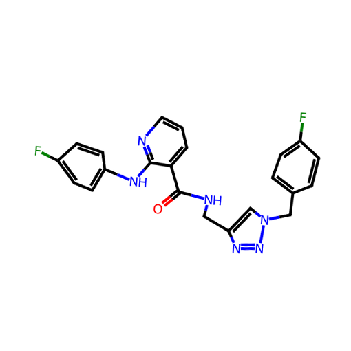 O=C(NCc1cn(Cc2ccc(F)cc2)nn1)c1cccnc1Nc1ccc(F)cc1